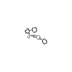 O=C(NCC1CCN(c2ccccc2)C1)n1ccnc1-c1ccccc1